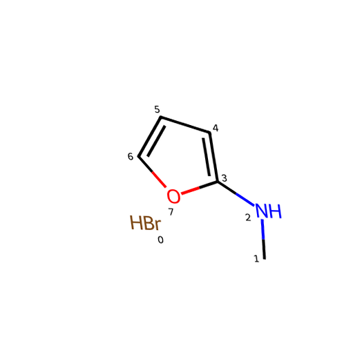 Br.CNc1ccco1